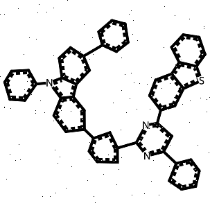 c1ccc(-c2ccc3c(c2)c2cc(-c4cccc(-c5nc(-c6ccccc6)cc(-c6ccc7c(c6)sc6ccccc67)n5)c4)ccc2n3-c2ccccc2)cc1